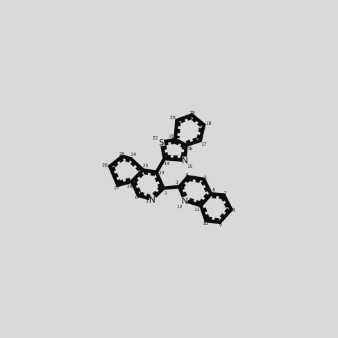 [c]1nc(-c2ccc3ccccc3n2)c(-c2nc3ccccc3s2)c2ccccc12